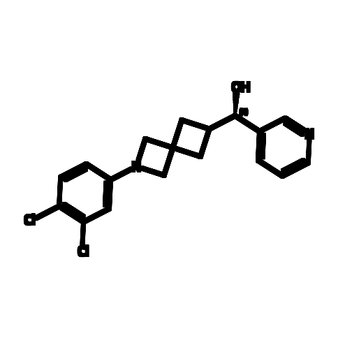 O[C@H](c1cccnc1)C1CC2(C1)CN(c1ccc(Cl)c(Cl)c1)C2